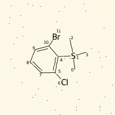 CS(C)(C)c1c(Cl)cccc1Br